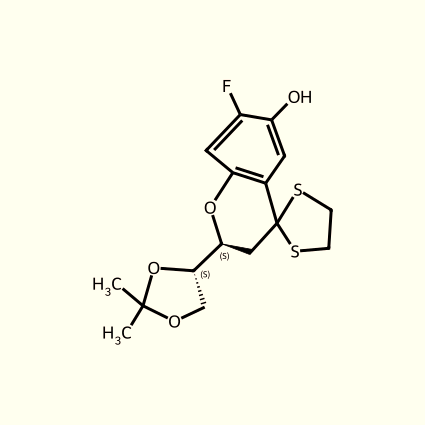 CC1(C)OC[C@@H]([C@@H]2CC3(SCCS3)c3cc(O)c(F)cc3O2)O1